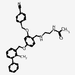 CC(=O)NCCNCc1ccc(OCc2cccc(-c3ccccc3)c2C)cc1OCc1ccc(C#N)cc1